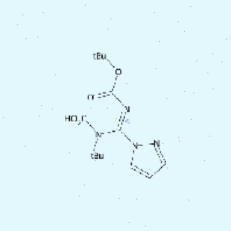 CC(C)(C)OC(=O)/N=C(\N(C(=O)O)C(C)(C)C)n1cccn1